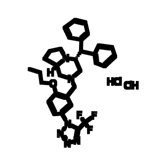 CCCOc1ccc(-n2nnnc2C(F)(F)F)cc1CN1C[C@@H]2CCCN2[C@H](C(c2ccccc2)c2ccccc2)C1.Cl.Cl